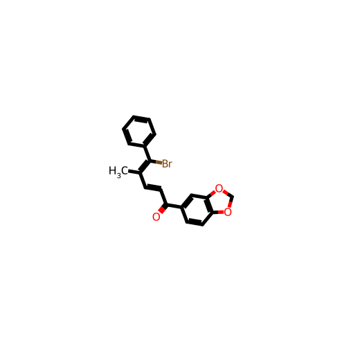 CC(C=CC(=O)c1ccc2c(c1)OCO2)=C(Br)c1ccccc1